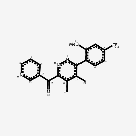 COc1cc(C(F)(F)F)ccc1-c1nnc(C(=O)c2cccnc2)c(C)c1C